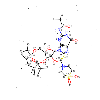 CC(C)C(=O)Nc1nc2c(ncn2[C@@H]2O[C@@H]3CO[Si](C(C)C)(C(C)C)O[Si](C(C)C)(C(C)C)OC3[C@@H]2OC(=S)N2CCS(=O)(=O)CC2)c(=O)[nH]1